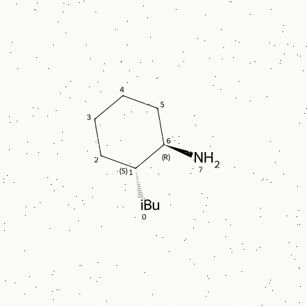 CCC(C)[C@@H]1CCCC[C@H]1N